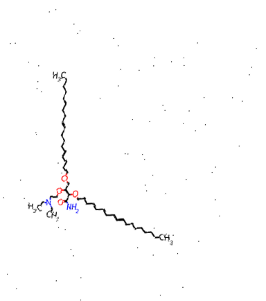 CCCCCCCCC=CCCCCCCCCOCC(OCCN(CC)CC)C(OCCCCCCCCC=CCCCCCCCC)C(N)=O